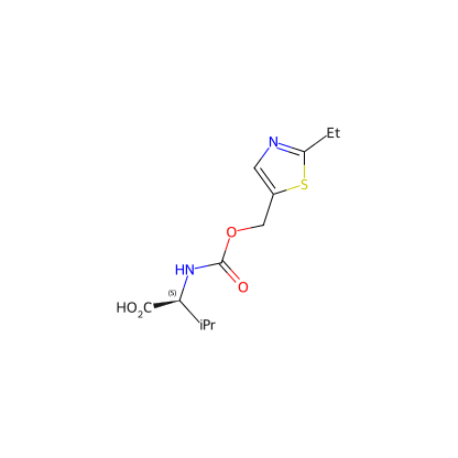 CCc1ncc(COC(=O)N[C@H](C(=O)O)C(C)C)s1